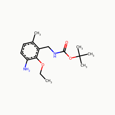 CCOc1c(N)ccc(C)c1CNC(=O)OC(C)(C)C